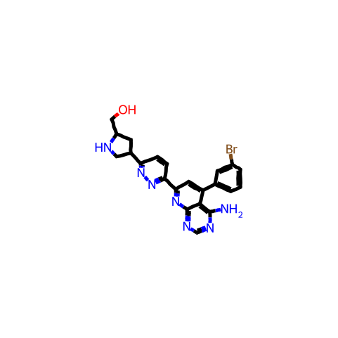 Nc1ncnc2nc(-c3ccc(C4CNC(CO)C4)nn3)cc(-c3cccc(Br)c3)c12